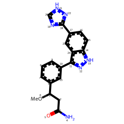 COC(CC(N)=O)c1cccc(-c2n[nH]c3ccc(-c4nc[nH]n4)cc23)c1